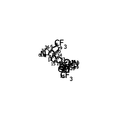 CN1CC=C(c2cc(C(F)(F)F)ccc2-c2cccc3cc(S(=O)(=O)N(OC(=O)C(F)(F)F)c4ccncn4)ccc23)CC1